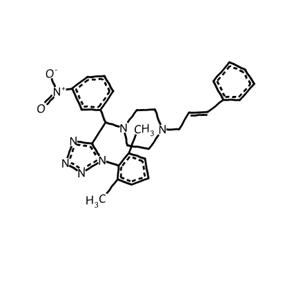 Cc1cccc(C)c1-n1nnnc1C(c1cccc([N+](=O)[O-])c1)N1CCN(CC=Cc2ccccc2)CC1